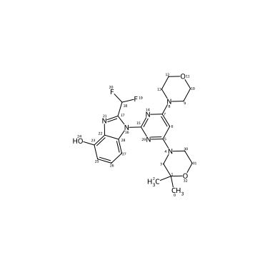 CC1(C)CN(c2cc(N3CCOCC3)nc(-n3c(C(F)F)nc4c(O)cccc43)n2)CCO1